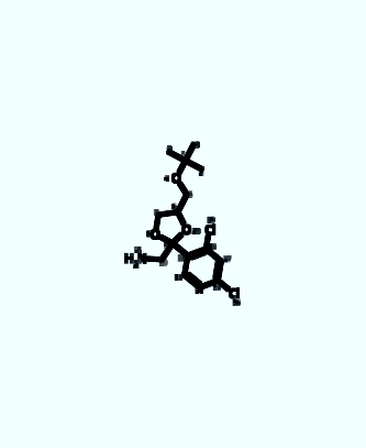 CC(C)(C)OCC1COC(CN)(c2ccc(Cl)cc2Cl)O1